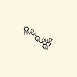 COc1ccc2nccc([C@H](O)CN3CCC(N(C)CC(=O)Nc4ccccc4)CC3)c2c1